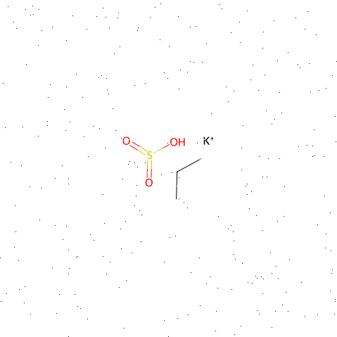 O=[S-](=O)O.[CH2]CC.[K+]